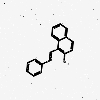 Nc1ccc2ccccc2c1C=Cc1ccccc1